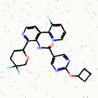 O=C(Nc1c(-c2ncccc2F)ccnc1C1CCC(F)(F)CO1)c1cnc(OC2CCC2)nc1